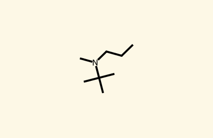 CCCN(C)C(C)(C)C